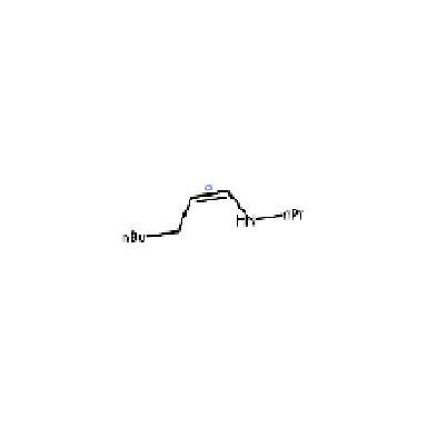 CCCCC/C=C\NCCC